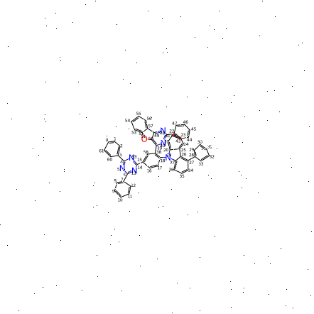 c1ccc(-c2nc(-c3ccccc3)nc(-c3ccc(-n4c5ccccc5c5c(-c6ccccc6)cccc54)c(-c4nc(-c5ccccc5)nc5c4oc4ccccc45)c3)n2)cc1